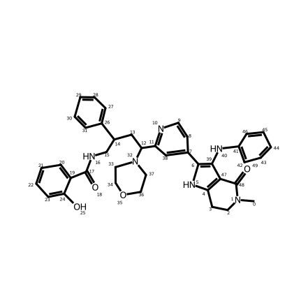 CN1CCc2[nH]c(-c3ccnc(C(CC(CNC(=O)c4ccccc4O)c4ccccc4)N4CCOCC4)c3)c(Nc3ccccc3)c2C1=O